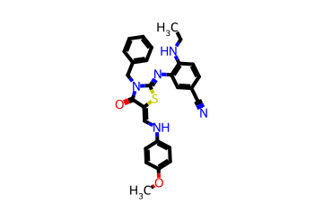 CCNc1ccc(C#N)cc1/N=C1\S/C(=C\Nc2ccc(OC)cc2)C(=O)N1Cc1ccccc1